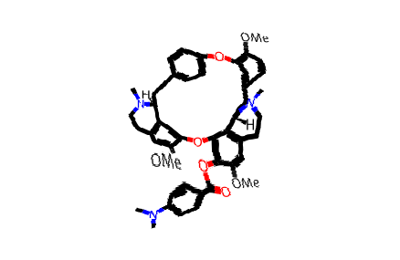 COc1ccc2cc1Oc1ccc(cc1)C[C@H]1c3cc(c(OC)cc3CCN1C)Oc1c(OC(=O)c3ccc(N(C)C)cc3)c(OC)cc3c1[C@H](C2)N(C)CC3